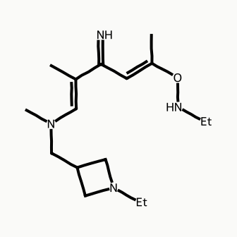 CCNO/C(C)=C/C(=N)/C(C)=C/N(C)CC1CN(CC)C1